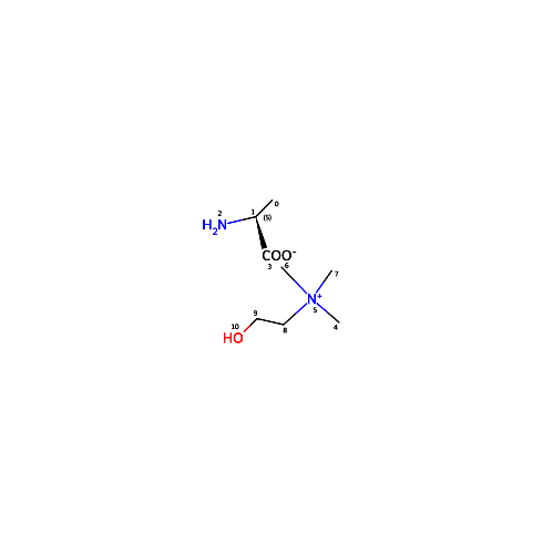 C[C@H](N)C(=O)[O-].C[N+](C)(C)CCO